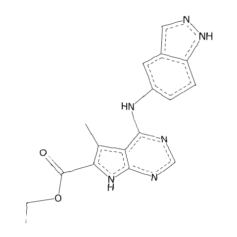 CCOC(=O)c1[nH]c2ncnc(Nc3ccc4[nH]ncc4c3)c2c1C